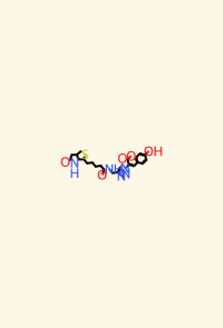 O=C(CCCCC1SCC2CC(=O)NC21)NCc1cn(-c2cc3ccc(O)cc3oc2=O)nn1